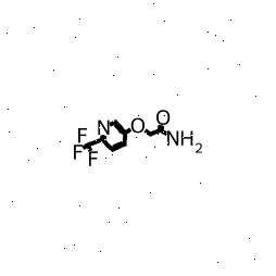 NC(=O)COc1ccc(C(F)(F)F)nc1